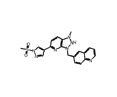 CN1NN(Cc2ccc3ncccc3c2)c2nc(-c3cnn(S(C)(=O)=O)c3)ccc21